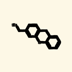 CC(C)(C)Cc1ccc2c(c1)Oc1ccccc1C2